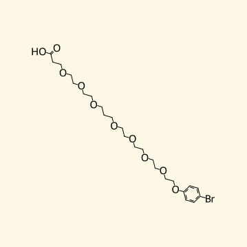 O=C(O)CCOCCOCCOCCCOCCOCCOCCOCCOc1ccc(Br)cc1